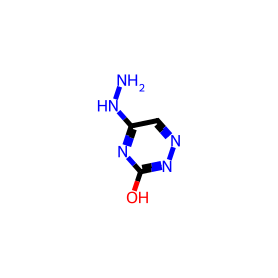 NNc1cnnc(O)n1